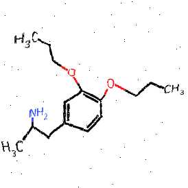 CCCOc1ccc(CC(C)N)cc1OCCC